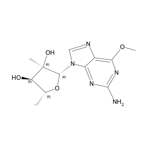 [CH2][C@H]1O[C@@H](n2cnc3c(OC)nc(N)nc32)[C@](C)(O)[C@@H]1O